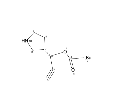 C#CC(OC(=O)C(C)(C)C)[C@H]1CCNC1